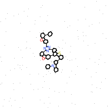 c1ccc(-c2nc(-c3ccc4c(c3)oc3cccc(-c5ccccc5)c34)nc(-c3cccc4oc5ccc(-c6ccc7sc8cccc(-c9ccc%10c(c9)c9ccccc9n%10-c9ccccc9)c8c7c6)cc5c34)n2)cc1